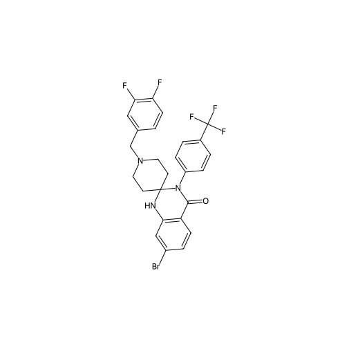 O=C1c2ccc(Br)cc2NC2(CCN(Cc3ccc(F)c(F)c3)CC2)N1c1ccc(C(F)(F)F)cc1